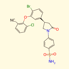 N#Cc1cccc(Cl)c1Oc1cc([C@H]2CC(=O)N(c3ccc(S(N)(=O)=O)cc3)C2)ccc1Br